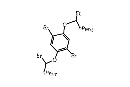 CCCCCC(CC)Oc1cc(Br)c(OC(CC)CCCCC)cc1Br